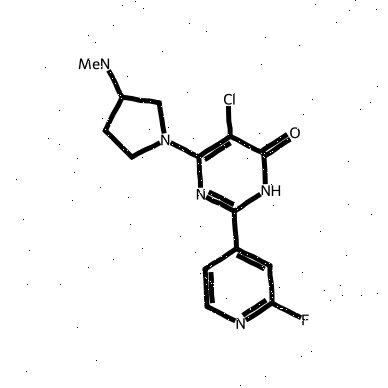 CNC1CCN(c2nc(-c3ccnc(F)c3)[nH]c(=O)c2Cl)C1